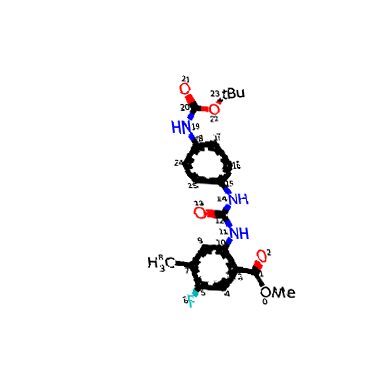 COC(=O)c1cc(F)c(C)cc1NC(=O)Nc1ccc(NC(=O)OC(C)(C)C)cc1